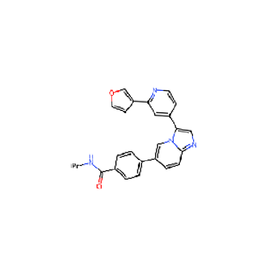 CC(C)NC(=O)c1ccc(-c2ccc3ncc(-c4ccnc(-c5ccoc5)c4)n3c2)cc1